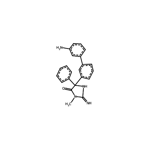 CN1C(=N)NC(c2ccccc2)(c2cccc(-c3cccc(N)c3)c2)C1=O